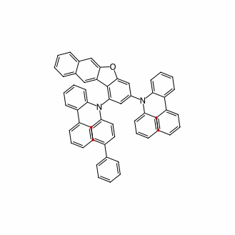 c1ccc(-c2ccc(N(c3ccccc3-c3ccccc3)c3cc(N(c4ccccc4)c4ccccc4-c4ccccc4)cc4oc5cc6ccccc6cc5c34)cc2)cc1